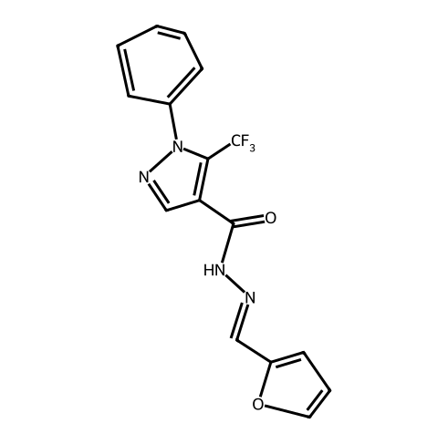 O=C(NN=Cc1ccco1)c1cnn(-c2ccccc2)c1C(F)(F)F